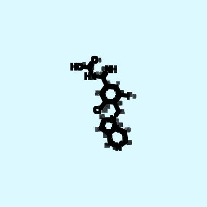 N=C(NC(=O)O)c1cc(F)c(Cn2ccc3cnccc32)c(Cl)c1